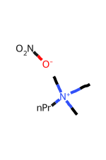 CCC[N+](C)(C)C.O=[N+]([O-])[O-]